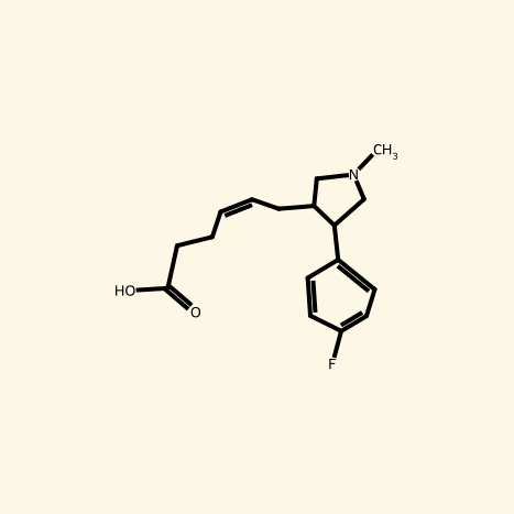 CN1CC(C/C=C\CCC(=O)O)C(c2ccc(F)cc2)C1